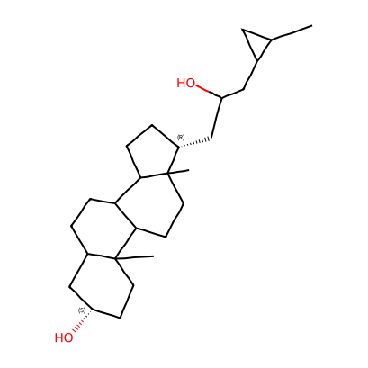 CC1CC1CC(O)C[C@H]1CCC2C3CCC4C[C@@H](O)CCC4(C)C3CCC21C